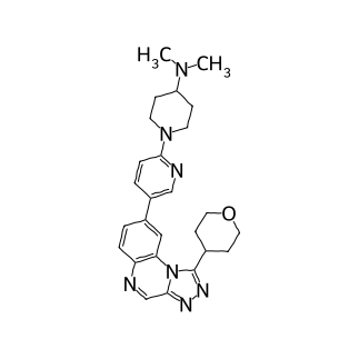 CN(C)C1CCN(c2ccc(-c3ccc4ncc5nnc(C6CCOCC6)n5c4c3)cn2)CC1